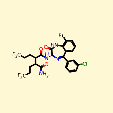 CCc1cccc2c1NC(=O)[C@@H](NC(=O)C(CCC(F)(F)F)C(CCC(F)(F)F)C(N)=O)N=C2c1cccc(Cl)c1